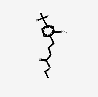 CCOC(=O)CCCc1ncc(C(F)(F)F)cc1N